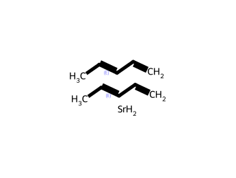 C=C/C=C/C.C=C/C=C/C.[SrH2]